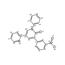 O=c1c(-c2cccc([N+](=O)[O-])c2)cc(-c2ccccn2)cn1-c1ccccc1